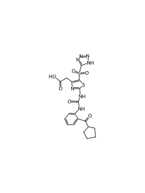 O=C(O)Cc1nc(NC(=O)Nc2ccccc2C(=O)C2CCCC2)sc1S(=O)(=O)c1nnn[nH]1